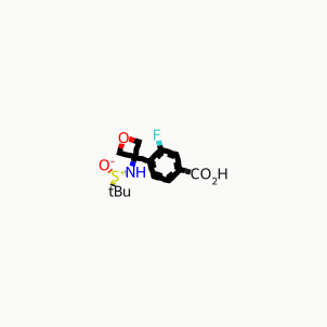 CC(C)(C)[S+]([O-])NC1(c2ccc(C(=O)O)cc2F)COC1